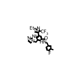 CCn1cc(-c2cc(Cn3ccn(C)c3=N)cc(C(=O)NCc3ccc(F)c(C)c3)c2)c(C(F)(F)F)n1